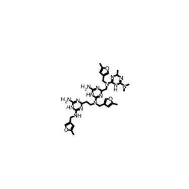 Cc1cc(CNC2=NC(CCN(Cc3coc(C)c3)C3=NC(CN(Cc4coc(C)c4)C4=NC(C)N=C(N(C)C)N4)N=C(N)N3)N=C(N)N2)co1